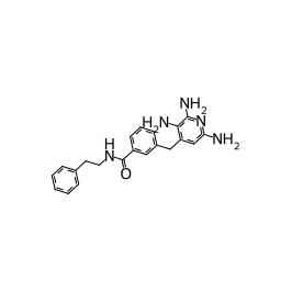 Nc1cc(Cc2cccc(C(=O)NCCc3ccccc3)c2)c(N)c(N)n1